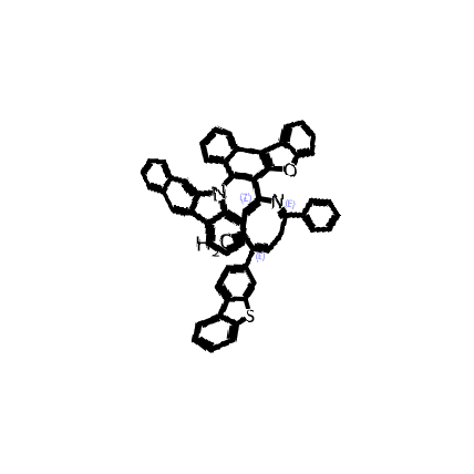 C=C1/C=C(c2c(-n3c4ccccc4c4cc5ccccc5cc43)c3ccccc3c3c2oc2ccccc23)\N=C(\c2ccccc2)C/C=C\1c1ccc2c(c1)sc1ccccc12